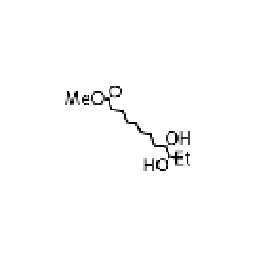 CCC(O)C(O)CCCCCCCC(=O)OC